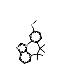 COc1ccc2c(c1)-n1cnc3cccc(c31)C(C)(C)C2(C)C